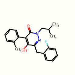 Cc1ccccc1-c1c(O)c(Cc2ccccc2F)nn(CC(C)C)c1=O